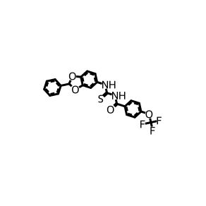 O=C(NC(=S)Nc1ccc2c(c1)OC(c1ccccc1)O2)c1ccc(OC(F)(F)F)cc1